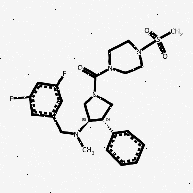 CN(Cc1cc(F)cc(F)c1)[C@H]1CN(C(=O)N2CCN(S(C)(=O)=O)CC2)C[C@@H]1c1ccccc1